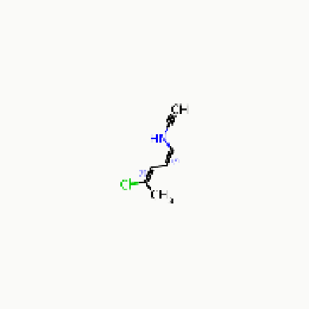 C#CN/C=C\C=C(/C)Cl